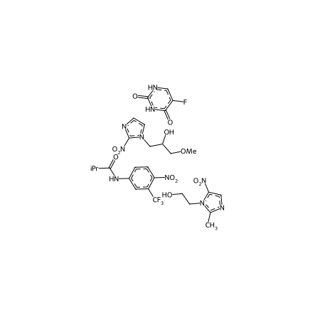 CC(C)C(=O)Nc1ccc([N+](=O)[O-])c(C(F)(F)F)c1.COCC(O)Cn1ccnc1[N+](=O)[O-].Cc1ncc([N+](=O)[O-])n1CCO.O=c1[nH]cc(F)c(=O)[nH]1